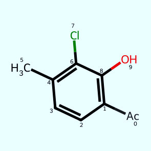 CC(=O)c1ccc(C)c(Cl)c1O